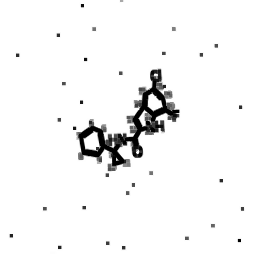 O=C(NC1(c2ccccc2)CC1)c1cc2cc(Cl)cc(F)c2[nH]1